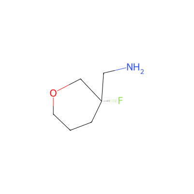 NC[C@@]1(F)CCCOC1